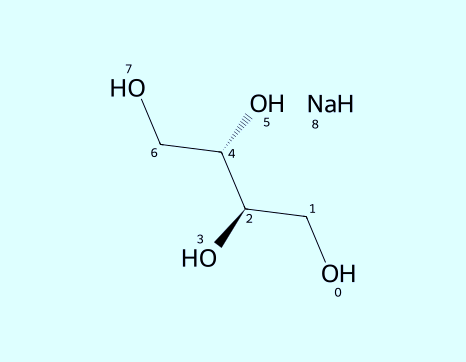 OC[C@@H](O)[C@@H](O)CO.[NaH]